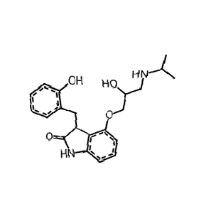 CC(C)NCC(O)COc1cccc2c1C(Cc1ccccc1O)C(=O)N2